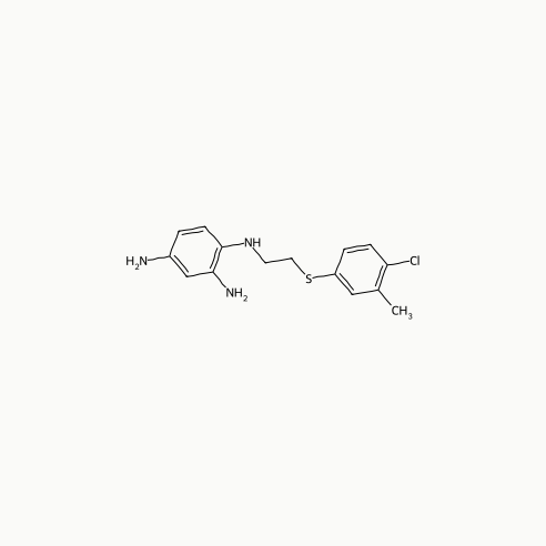 Cc1cc(SCCNc2ccc(N)cc2N)ccc1Cl